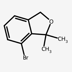 CC1(C)OCc2cccc(Br)c21